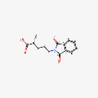 O=C(O)[C@H](Br)CCCN1C(=O)c2ccccc2C1=O